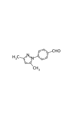 Cc1cc(C)n(-c2ccc(C=O)cc2)n1